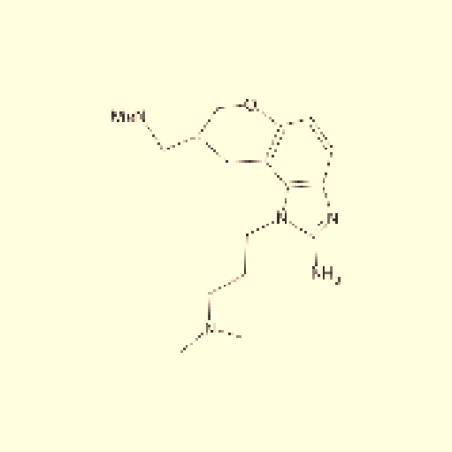 CNCC1COc2ccc3nc(N)n(CCCN(C)C)c3c2C1